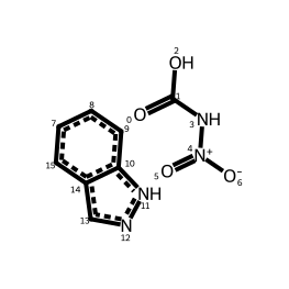 O=C(O)N[N+](=O)[O-].c1ccc2[nH]ncc2c1